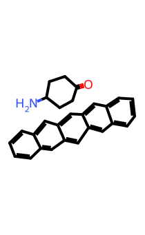 NC1CCC(=O)CC1.c1ccc2cc3cc4cc5ccccc5cc4cc3cc2c1